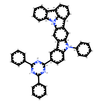 c1ccc(-c2nc(-c3ccccc3)nc(-c3ccc4c(c3)c3cc5c(cc3n4-c3ccccc3)c3cccc4c6ccccc6n5c43)n2)cc1